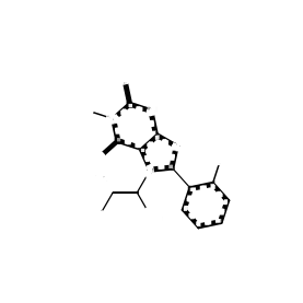 CC([C@@H](C)Cl)n1c(-c2ccccc2Cl)nc2[nH]c(=O)n(C)c(=O)c21